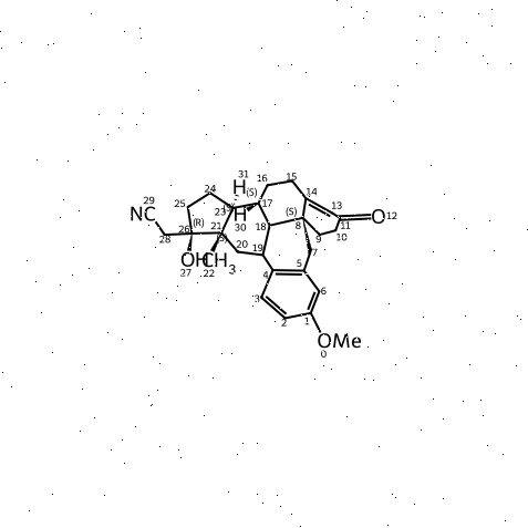 COc1ccc2c(c1)C[C@]13CCC(=O)C=C1CC[C@@H]1C3C2C[C@@]2(C)[C@H]1CC[C@@]2(O)CC#N